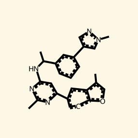 Cc1nc(NC(C)c2cccc(-c3cnn(C)c3)c2)cc(-c2ccc3occ(C)c3c2)n1